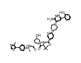 Cc1ncsc1-c1ccc([C@H](C)NC(=O)[C@@H]2C[C@@H](O)CN2C(=O)C(NC(=O)c2ccc(N3CCN(c4cc(-c5ccccc5O)nnc4N)CC3)nc2)C(C)(C)C)cc1